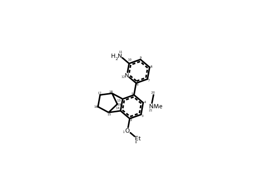 CCOc1ccc(-c2cccc(N)n2)c2c1C1CCC2C1.CNC